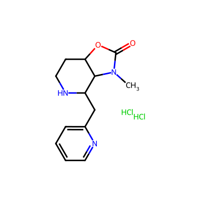 CN1C(=O)OC2CCNC(Cc3ccccn3)C21.Cl.Cl